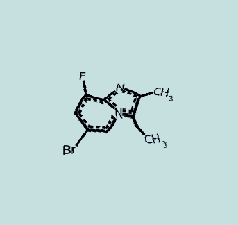 Cc1nc2c(F)cc(Br)cn2c1C